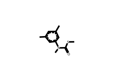 CSC(=O)N(C)c1cc(C)cc(C)c1